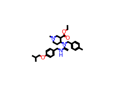 C=C(NCc1ccc(OCC(C)C)cc1)N(Cc1ccc(C)cc1)C1CCN(C)CC1C(=O)OCC